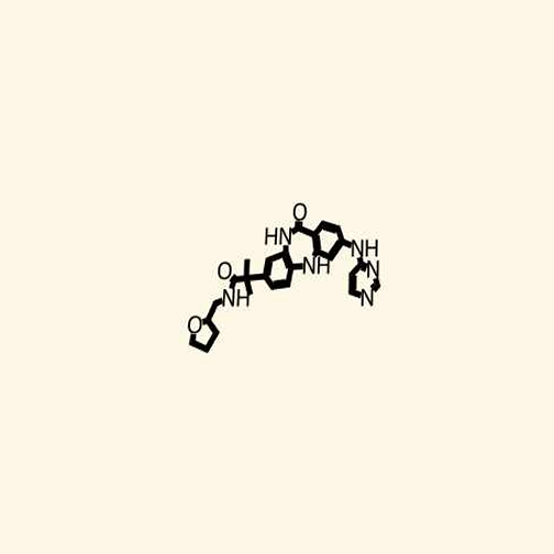 CC(C)(C(=O)NCC1CCCO1)c1ccc2c(c1)NC(=O)c1ccc(Nc3ccncn3)cc1N2